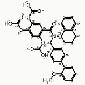 COc1ccccc1-c1ccc(CN(C(=O)c2cc(OC(=O)O)c(OC(=O)O)cc2OC(=O)O)[C@H]2CCCc3ccccc32)cc1